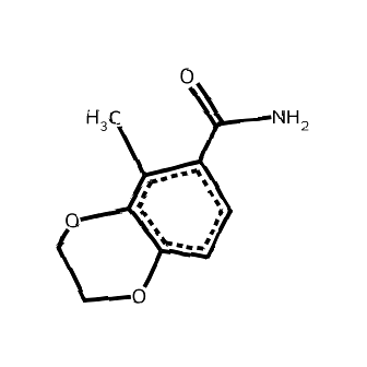 Cc1c(C(N)=O)ccc2c1OCCO2